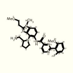 COCCc1nc2c(N3CCCC3CN)c(NC(=O)c3ccnc(-c4c(F)cccc4OC)n3)ccc2n1C